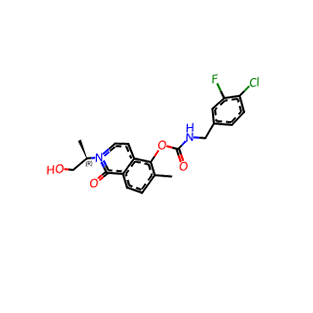 Cc1ccc2c(=O)n([C@H](C)CO)ccc2c1OC(=O)NCc1ccc(Cl)c(F)c1